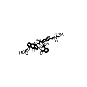 CCCCC[C@H](O)CC[C@@H]1[C@H]2Cc3cccc(OCC(=O)O)c3C[C@H]2C[C@H]1OC(=O)C1CCCCC1C(=O)NCCCCCCNC(=O)CS